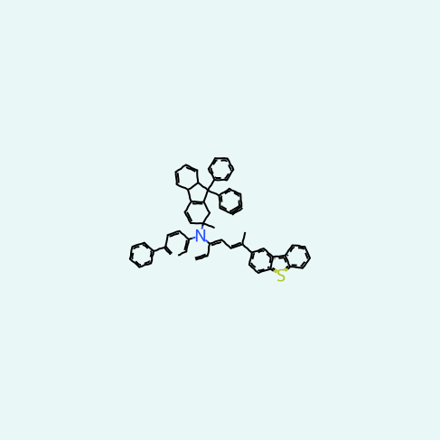 C=C/C(=C\C=C(/C)c1ccc2sc3ccccc3c2c1)N(C(/C=C\C(=C)c1ccccc1)=C/C)C1(C)C=CC2=C(C1)C(c1cc#ccc1)(c1ccccc1)C1C=CC=CC21